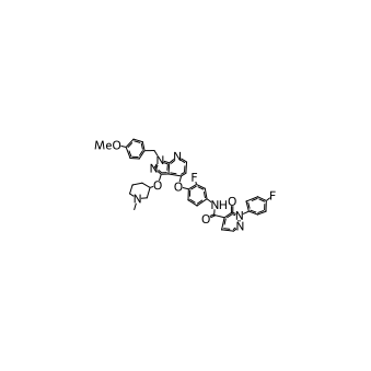 COc1ccc(Cn2nc(OC3CCCN(C)C3)c3c(Oc4ccc(NC(=O)c5ccnn(-c6ccc(F)cc6)c5=O)cc4F)ccnc32)cc1